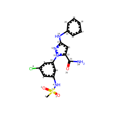 CS(=O)(=O)Nc1cc(Cl)cc(-n2nc(Nc3ccccc3)cc2C(N)=O)c1